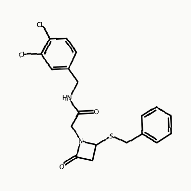 O=C(CN1C(=O)CC1SCc1ccccc1)NCc1ccc(Cl)c(Cl)c1